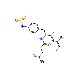 C/C=C(CC)\N=C(/C)[C@H](Cc1ccc(N[SH](=O)=O)cc1)NC(=O)CCC(=O)C(C)C